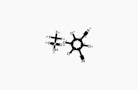 N#Cc1c(Cl)c(Cl)c(Cl)c(C#N)c1Cl.O=S(=O)(O)C(F)(F)F